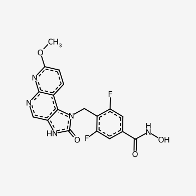 COc1ccc2c(ncc3[nH]c(=O)n(Cc4c(F)cc(C(=O)NO)cc4F)c32)n1